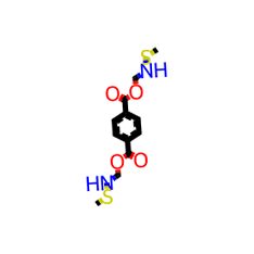 CSNCOC(=O)c1ccc(C(=O)OCNSC)cc1